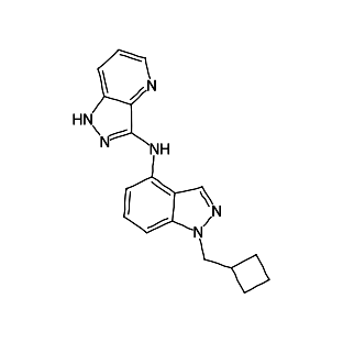 c1cnc2c(Nc3cccc4c3cnn4CC3CCC3)n[nH]c2c1